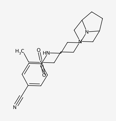 CCS(=O)(=O)CCCN1CC2CCC(C1)N2CCCNc1ccc(C#N)cc1